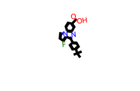 CC(C)(C)c1ccc(-c2nc3cc(C(=O)O)ccc3n3ccc(F)c23)cc1